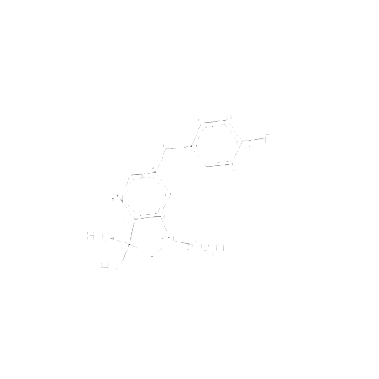 CC1(C)CN(C(=O)O)c2cc(Cc3ccc(F)cc3)cnc21